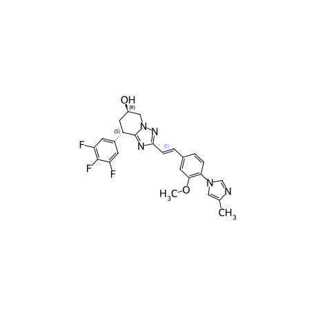 COc1cc(/C=C/c2nc3n(n2)C[C@H](O)C[C@H]3c2cc(F)c(F)c(F)c2)ccc1-n1cnc(C)c1